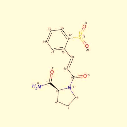 NC(=O)[C@@H]1CCCN1C(=O)/C=C/c1ccccc1[SH](=O)=O